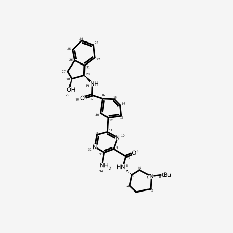 CC(C)(C)N1CCC[C@H](NC(=O)c2nc(-c3cccc(C(=O)N[C@@H]4c5ccccc5C[C@@H]4O)c3)cnc2N)C1